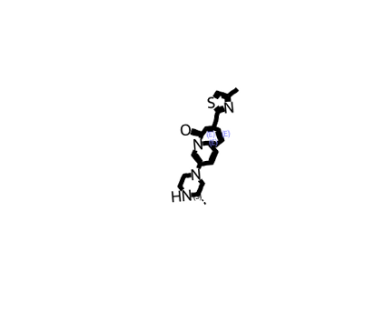 Cc1csc(C2=C\C(=O)N3C=C(N4CCN[C@@H](C)C4)C=C\C3=C/C=C/2)n1